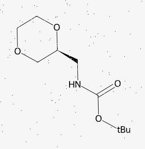 CC(C)(C)OC(=O)NC[C@H]1COCCO1